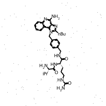 CCCCc1nc2c(N)nc3ccccc3c2n1Cc1ccc(CNC(=O)[C@H](CCCNC(N)=O)NC(=O)[C@@H](N)C(C)C)cc1